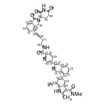 CNC(=O)c1c(C)[nH]c2c(C(C)C)cc(-c3cccc4cc(-c5ccc(C(=O)NCCC#Cc6cccc7c6CN(C6CCC(=O)NC6=O)C7=O)nc5)ncc34)cc12